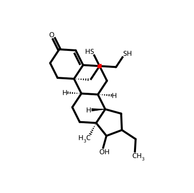 CCC1C[C@H]2[C@@H]3CCC4=CC(=O)CC[C@]4(CC(S)CS)[C@@H]3CC[C@]2(C)C1O